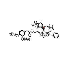 C=C(C)[C@@]1(C)C[C@@H](C)[C@@]23C[C@](Cc4ccccc4)(O[C@@H](C)[C@@H]2C=C(COC(=O)Cc2ccc(OC(C)(C)C)c(OC)c2)C[C@]2(O)C(=O)C(C)=C[C@@H]32)O1